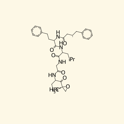 CC(C)CC(NC(=O)C(CCc1ccccc1)NC(=O)C[CH]Cc1ccccc1)C(=O)NCC(=O)NC(CC(C)C)C(=O)[C@@]1(C)CO1